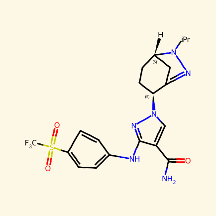 CC(C)N1N=C2C[C@@H]1CC[C@@H]2n1cc(C(N)=O)c(Nc2ccc(S(=O)(=O)C(F)(F)F)cc2)n1